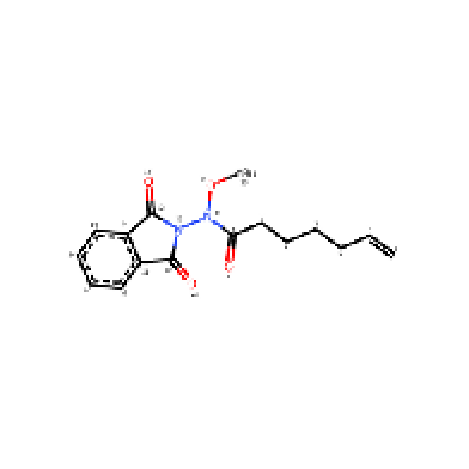 C=CCCCCC(=O)N(OC(C)(C)C)N1C(=O)c2ccccc2C1=O